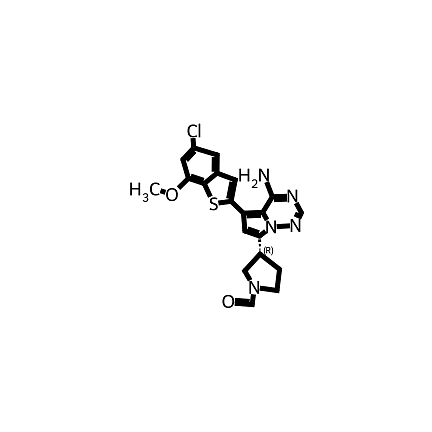 COc1cc(Cl)cc2cc(-c3cc([C@@H]4CCN(C=O)C4)n4ncnc(N)c34)sc12